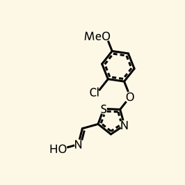 COc1ccc(Oc2ncc(/C=N/O)s2)c(Cl)c1